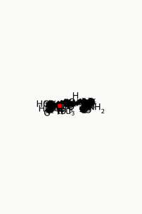 CC(C)(C)[Si](C)(C)OC(CNCc1ccc(S(=O)(=O)CNCCN2CCC(C(C(N)=O)(c3ccccc3)c3ccccc3)C2)cc1)c1ccc(O)c2[nH]c(=O)ccc12